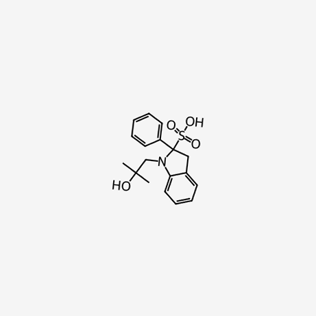 CC(C)(O)CN1c2ccccc2CC1(c1ccccc1)S(=O)(=O)O